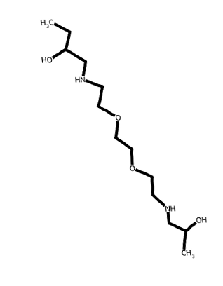 CCC(O)CNCCOCCOCCNCC(C)O